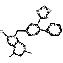 CCc1nc2c(C)cc(C)cc2n1Cc1ccc(-c2ccccc2)c(-c2nnn[nH]2)c1